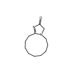 O=C1CN2CCCCCCCCCC2=N1